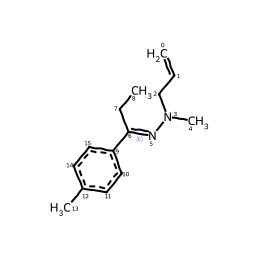 C=CCN(C)/N=C(\CC)c1ccc(C)cc1